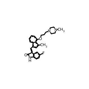 Cc1cc(/C=C2/C(=O)Nc3ccc(F)cc32)c2ccccc(OCCCN3CCN(C)CC3)c1-2